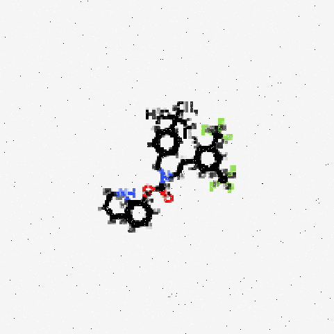 CC(C)(C)c1ccc(CN(CCc2cc(C(F)(F)F)cc(C(F)(F)F)c2)C(=O)Oc2cccc3c2NCCC3)cc1